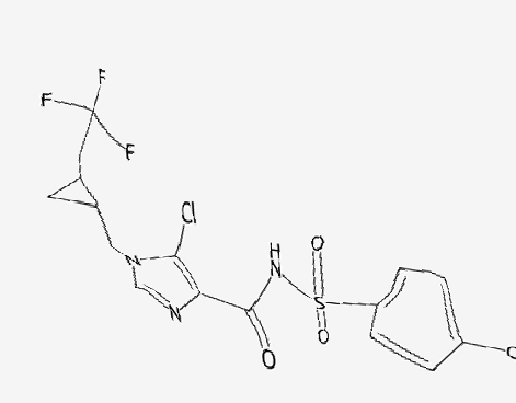 O=C(NS(=O)(=O)c1ccc(Cl)cc1)c1ncn(C2CC2C(F)(F)F)c1Cl